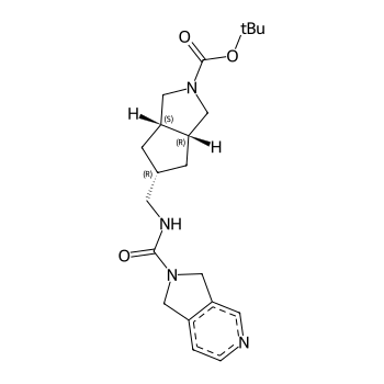 CC(C)(C)OC(=O)N1C[C@H]2C[C@@H](CNC(=O)N3Cc4ccncc4C3)C[C@H]2C1